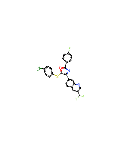 Fc1ccc(-c2nc(-c3ccc4cc(C(F)F)cnc4c3)c(Sc3ccc(Cl)cc3)o2)cc1